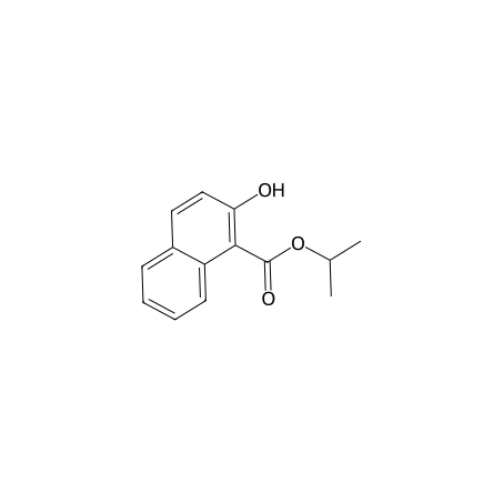 CC(C)OC(=O)c1c(O)ccc2ccccc12